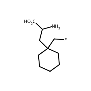 NC(CC1(CF)CCCCC1)C(=O)O